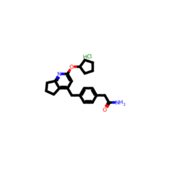 Cl.NC(=O)Cc1ccc(Cc2cc(OC3CCCC3)nc3c2CCC3)cc1